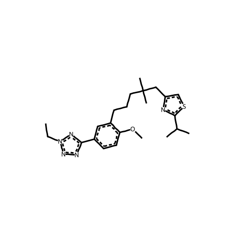 CCn1nnc(-c2ccc(OC)c(CCCC(C)(C)Cc3csc(C(C)C)n3)c2)n1